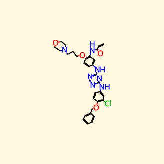 C=CC(=O)Nc1cc(Nc2ncnc(Nc3ccc(OCc4ccccc4)c(Cl)c3)n2)ccc1OCCCN1CCOCC1